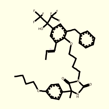 C/C=C/c1cc(C(O)(C(F)(F)F)C(F)(F)F)cc(Cc2ccccc2)c1OCCCCN1C(=O)NC(C)(c2ccc(OCCCC)cc2)C1=O